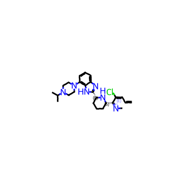 C=C/C=C(Cl)\C(=N/C)[C@@H]1CCC[C@H](c2nc3cccc(N4CCN(C(C)C)CC4)c3[nH]2)N1